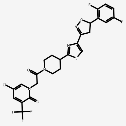 O=C(Cn1cc(Cl)cc(C(F)(F)F)c1=O)N1CCC(c2nc(C3=NOC(c4cc(F)ccc4F)C3)cs2)CC1